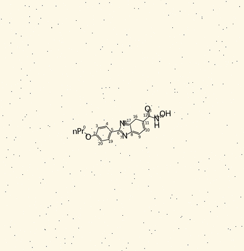 CCCOc1ccc(C2=NC3=CC=C(C(=O)NO)CC3=N2)cc1